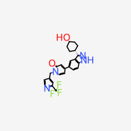 O=c1cc(-c2ccc3[nH]nc([C@H]4CC[C@H](O)CC4)c3c2)ccn1Cc1ccnc(C(F)(F)F)c1